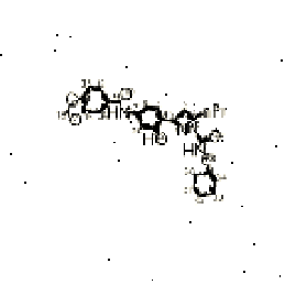 CCCc1cc(-c2ccc(NC(=O)c3ccc4c(c3)OCO4)cc2O)nn1C(=O)NCc1ccccc1